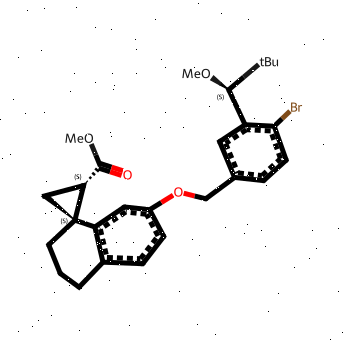 COC(=O)[C@H]1C[C@@]12CCCc1ccc(OCc3ccc(Br)c([C@@H](OC)C(C)(C)C)c3)cc12